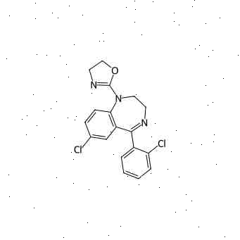 Clc1ccc2c(c1)C(c1ccccc1Cl)=NCCN2C1=NCCO1